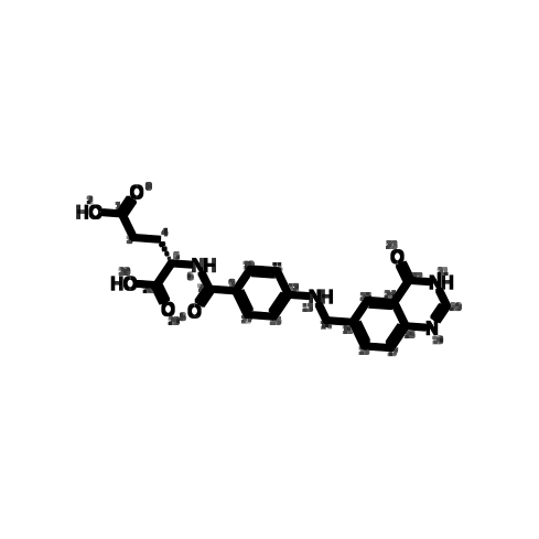 O=C(O)CC[C@H](NC(=O)c1ccc(NCc2ccc3nc[nH]c(=O)c3c2)cc1)C(=O)O